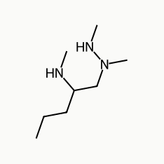 CCCC(CN(C)NC)NC